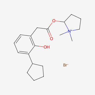 C[N+]1(C)CCCC1OC(=O)Cc1cccc(C2CCCC2)c1O.[Br-]